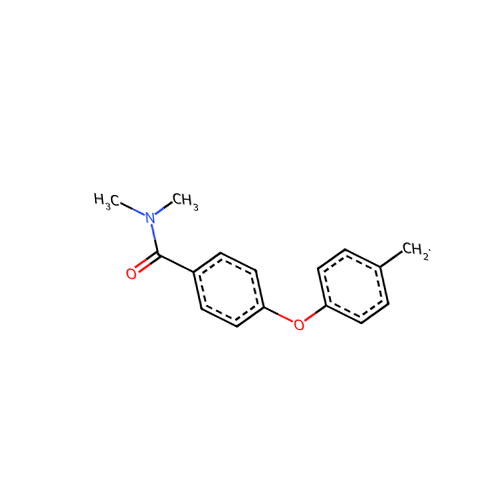 [CH2]c1ccc(Oc2ccc(C(=O)N(C)C)cc2)cc1